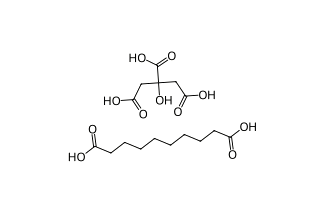 O=C(O)CC(O)(CC(=O)O)C(=O)O.O=C(O)CCCCCCCCC(=O)O